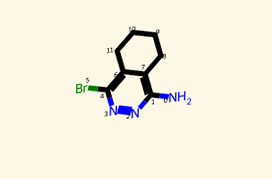 Nc1nnc(Br)c2c1CCCC2